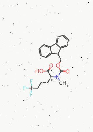 CN(C(=O)OCC1c2ccccc2-c2ccccc21)[C@@H](CCCC(F)(F)F)C(=O)O